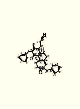 CC1=C(Cc2ccccc2)C(=O)C2[C@@H](CCC3=CN(Cc4ccccc4)C(=O)CC[C@@]32C)[C@@H]1CCC#N